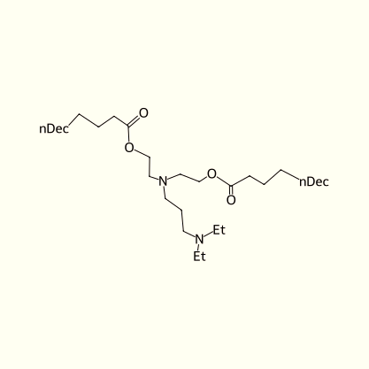 CCCCCCCCCCCCCC(=O)OCCN(CCCN(CC)CC)CCOC(=O)CCCCCCCCCCCCC